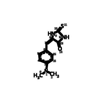 CN(C)c1ccc(C=C2NC(=S)NC2=O)cc1